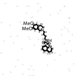 COc1cc2c(cc1OC)CN(CCCCNS(=O)(=O)c1cccc3cccnc13)CC2